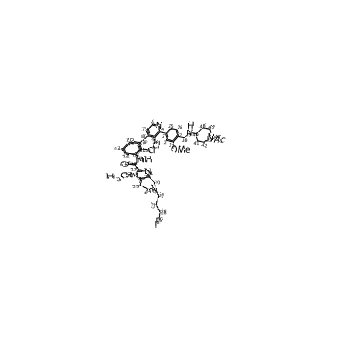 COc1cc(-c2nccc(-c3cccc(NC(=O)c4nc5c(n4C)CCN(CCCF)C5)c3Cl)c2Cl)ccc1CNC1CCN(C(C)=O)CC1